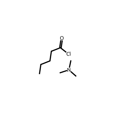 CCCCC(=O)Cl.CN(C)C